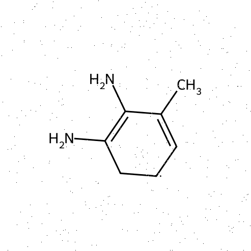 CC1=C[CH]CC(N)=C1N